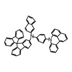 c1ccc2c(c1)-c1cccc3cccc(c13)N2c1ccc(N(c2ccc3c(c2)C2(c4ccccc4-c4ccccc42)c2ccccc2-3)c2ccc3ccccc3c2)cc1